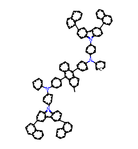 Cc1ccc2c(-c3ccc(N(c4ccccc4)c4ccc(-n5c6ccc(-c7cccc8ccccc78)cc6c6cc(-c7cccc8ccccc78)ccc65)cc4)cc3)c3ccccc3c(-c3ccc(N(c4ccccc4)c4ccc(-n5c6ccc(-c7cccc8ccccc78)cc6c6cc(-c7cccc8ccccc78)ccc65)cc4)cc3)c2c1